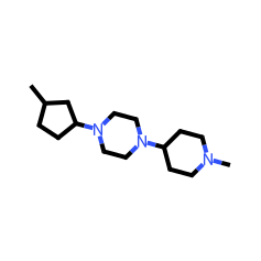 CC1CCC(N2CCN(C3CCN(C)CC3)CC2)C1